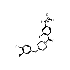 O=C(c1ccc(N[SH](=O)=O)cc1F)N1CCN(Cc2ccc(Cl)c(F)c2)CC1